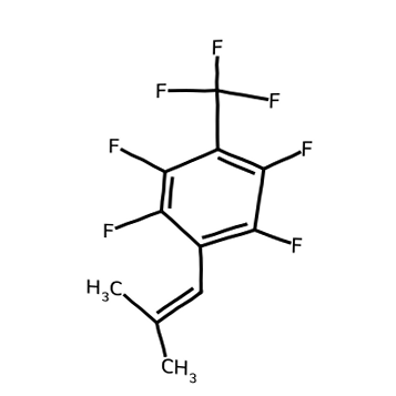 CC(C)=Cc1c(F)c(F)c(C(F)(F)F)c(F)c1F